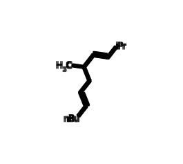 [CH2]C(C)/C=C/C(C)C/C=C/CCCC